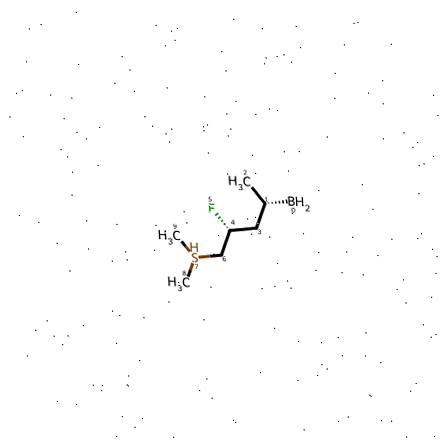 B[C@@H](C)C[C@@H](F)C[SH](C)C